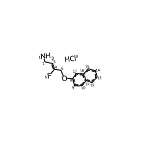 Cl.NC/C=C(\F)COc1ccc2ccccc2c1